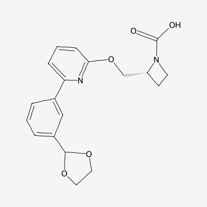 O=C(O)N1CC[C@@H]1COc1cccc(-c2cccc(C3OCCO3)c2)n1